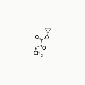 C=CC(=O)C(=O)OC1CC1